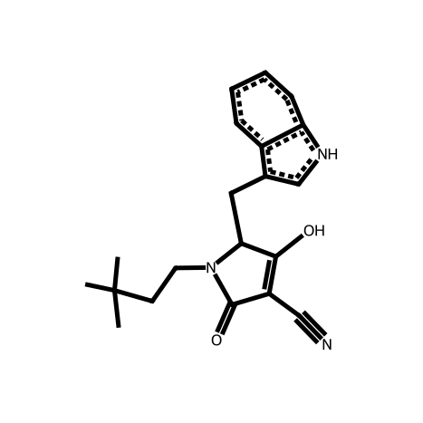 CC(C)(C)CCN1C(=O)C(C#N)=C(O)C1Cc1c[nH]c2ccccc12